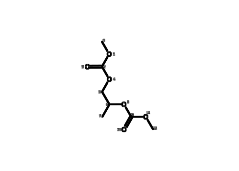 COC(=O)OCC(C)OC(=O)OC